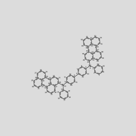 c1ccc(N(c2ccc(-c3ccc(N(c4ccccc4)c4ccc5c6cccc7cccc(c8cccc4c85)c76)cc3)cc2)c2ccc3c4cccc5cccc(c6cccc2c63)c54)cc1